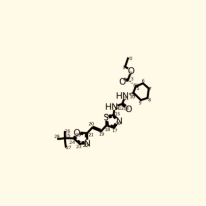 CCOC(=O)[C@@H]1CCCC[C@@H]1NC(=O)Nc1ncc(C=Cc2ncc(C(C)(C)C)o2)s1